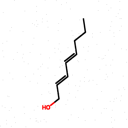 CCCC=CC=CCO